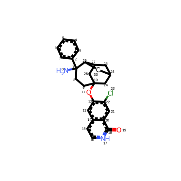 NC1(c2ccccc2)CCC2(Oc3cc4cc[nH]c(=O)c4cc3Cl)CC3CC(C2)C1C3